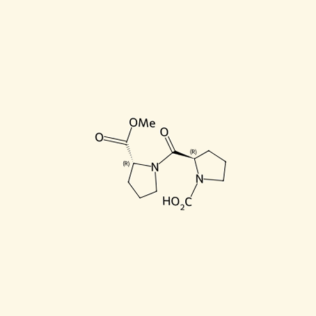 COC(=O)[C@H]1CCCN1C(=O)[C@H]1CCCN1C(=O)O